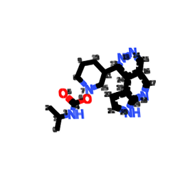 CC(C)NC(=O)ON1CCCC(c2nncc3cnc4[nH]ccc4c23)C1